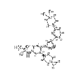 CS(=O)(=O)Nc1ccc(-n2cc(-c3cccc(N4CCC(F)(F)CC4)n3)nn2)c(N2CCC3(CC2)CC3)c1